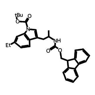 CCc1ccc2c(CC(C)NC(=O)OCC3c4ccccc4-c4ccccc43)cn(C(=O)OC(C)(C)C)c2c1